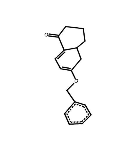 O=C1CCCC2CC(OCc3ccccc3)=CC=C12